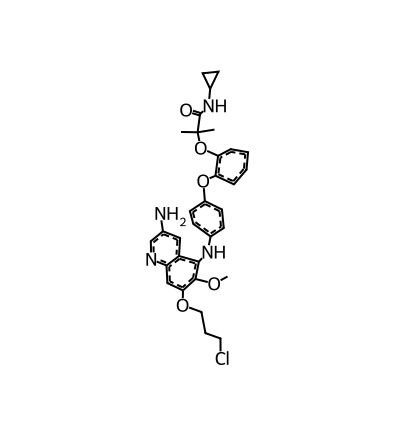 COc1c(OCCCCl)cc2ncc(N)cc2c1Nc1ccc(Oc2ccccc2OC(C)(C)C(=O)NC2CC2)cc1